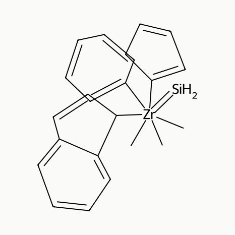 [CH3][Zr]([CH3])([CH3])(=[SiH2])([C]1=CC=CC1)([c]1ccccc1)[CH]1C=Cc2ccccc21